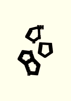 C1=CCC=C1.C1=CSSN1.c1cc2sccc2s1